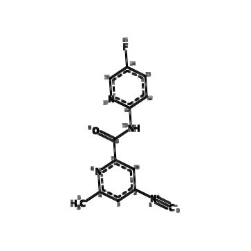 [C-]#[N+]c1cc(C)nc(C(=O)Nc2ccc(F)cn2)c1